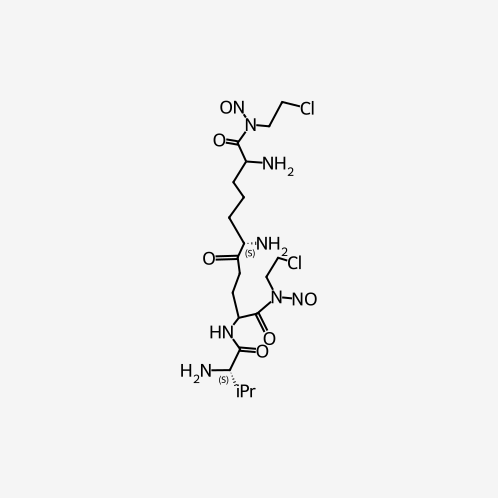 CC(C)[C@H](N)C(=O)NC(CCC(=O)[C@@H](N)CCCC(N)C(=O)N(CCCl)N=O)C(=O)N(CCCl)N=O